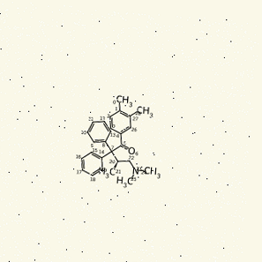 Cc1ccc(C(=O)C(c2ccccc2)(c2ccccc2)[C@H](C)CN(C)C)cc1C